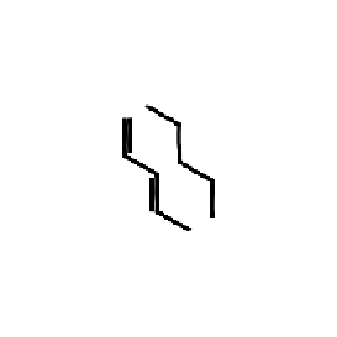 C=C/C=C/C.CCCCC